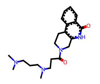 CN(C)CCCN(C)CCC(=O)N1CCc2c([nH]c(=O)c3ccccc23)C1